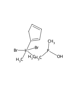 CP(C)O.[CH3][Ir]([CH3])([Br])([Br])[C]1=CC=CC1